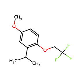 COc1ccc(OCC(F)(F)F)c(C(C)C)c1